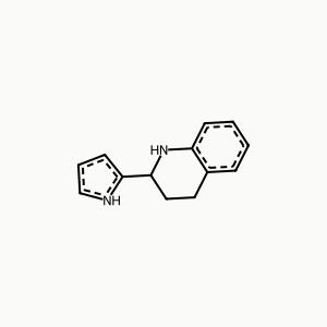 c1c[nH]c(C2CCc3ccccc3N2)c1